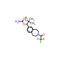 CC(C)(C)C(OC(N)=O)c1ccc2c(c1)CCN(C(=O)C(F)(F)F)CC2